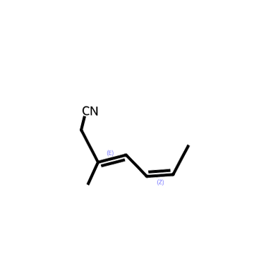 C/C=C\C=C(/C)CC#N